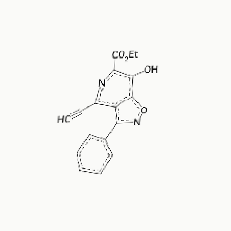 C#Cc1nc(C(=O)OCC)c(O)c2onc(-c3ccccc3)c12